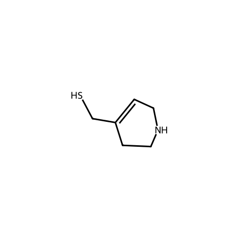 SCC1=CCNCC1